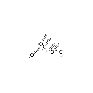 [C]=O.[C]=O.[C]=O.[C]=O.[C]=O.[Cr]